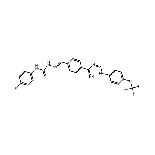 N=C(/N=C\Nc1ccc(OC(F)(F)F)cc1)c1ccc(/C=N/NC(=S)Nc2ccc(F)cc2)cc1